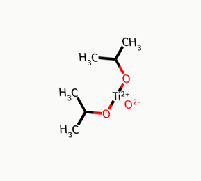 CC(C)[O][Ti+2][O]C(C)C.[O-2]